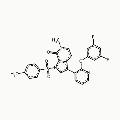 Cc1ccc(S(=O)(=O)n2cc(-c3cccnc3Oc3cc(F)cc(F)c3)c3ccn(C)c(=O)c32)cc1